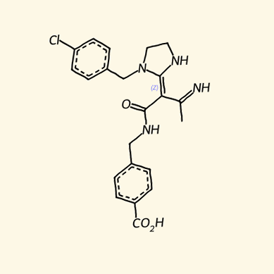 CC(=N)/C(C(=O)NCc1ccc(C(=O)O)cc1)=C1\NCCN1Cc1ccc(Cl)cc1